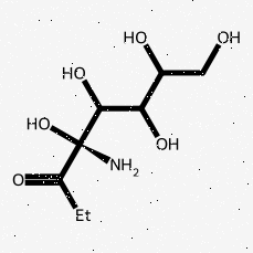 CCC(=O)[C@](N)(O)C(O)C(O)C(O)CO